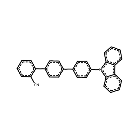 N#Cc1ccccc1-c1ccc(-c2ccc(-n3c4ccccc4c4ccccc43)cc2)cc1